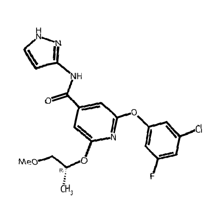 COC[C@@H](C)Oc1cc(C(=O)Nc2cc[nH]n2)cc(Oc2cc(F)cc(Cl)c2)n1